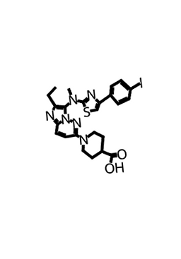 CCc1nc2ccc(N3CCC(C(=O)O)CC3)nn2c1N(C)c1nc(-c2ccc(I)cc2)cs1